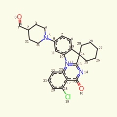 O=CC1CCN(c2ccc3c(c2)-n2c(nc(=O)c4c(Cl)cccc42)C32CCCCC2)CC1